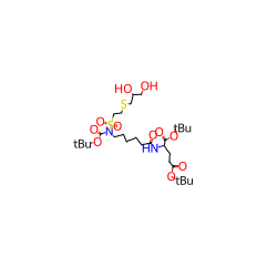 CC(C)(C)OC(=O)CCC(NC(=O)CCCCCN(C(=O)OC(C)(C)C)S(=O)(=O)CCSCC(O)CO)C(=O)OC(C)(C)C